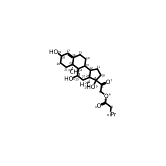 CC(C)CC(=O)OCC(=O)C1(O)CCC2C3CCC4=CC(O)CC[C@]4(C)C3C(O)C[C@@]21C